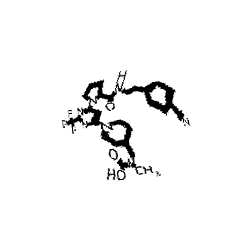 CN(CC1CCN(c2cc(N3CCCC3C(=O)NCCc3ccc(C#N)cc3)nc(C(F)(F)F)n2)CC1)C(=O)O